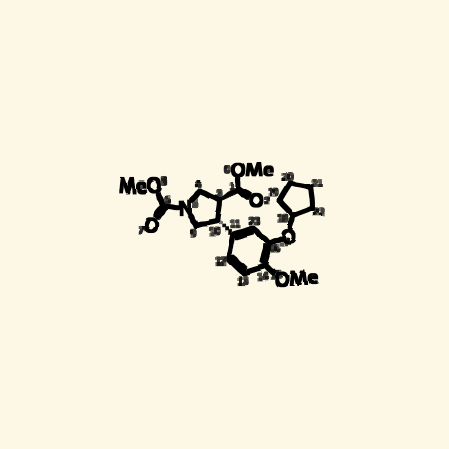 COC(=O)[C@@H]1CN(C(=O)OC)C[C@H]1c1ccc(OC)c(OC2CCCC2)c1